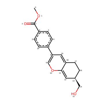 COC(=O)c1ccc(C2=COC3=C[C@H](CO)CCC3=C2)cc1